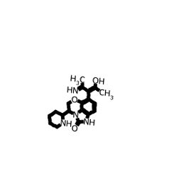 CC(=N)/C(=C(/C)O)c1ccc2[nH]c(=O)n3c2c1OCC3C1CCCCN1